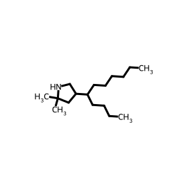 CCCCCCC(CCCC)C1CNC(C)(C)C1